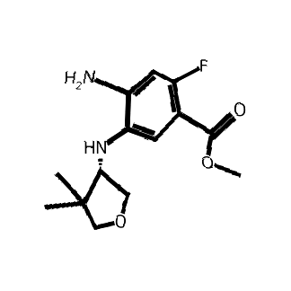 COC(=O)c1cc(N[C@@H]2COCC2(C)C)c(N)cc1F